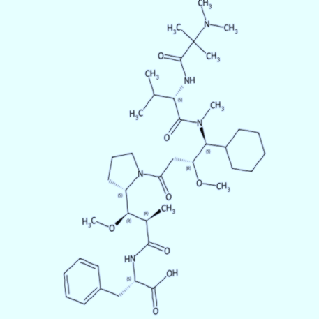 CO[C@H]([C@@H](C)C(=O)N[C@@H](Cc1ccccc1)C(=O)O)[C@@H]1CCCN1C(=O)C[C@@H](OC)[C@H](C1CCCCC1)N(C)C(=O)[C@@H](NC(=O)C(C)(C)N(C)C)C(C)C